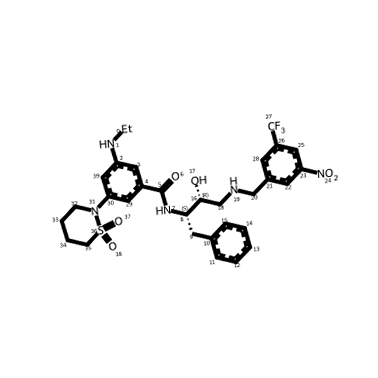 CCNc1cc(C(=O)N[C@@H](Cc2ccccc2)[C@H](O)CNCc2cc([N+](=O)[O-])cc(C(F)(F)F)c2)cc(N2CCCCS2(=O)=O)c1